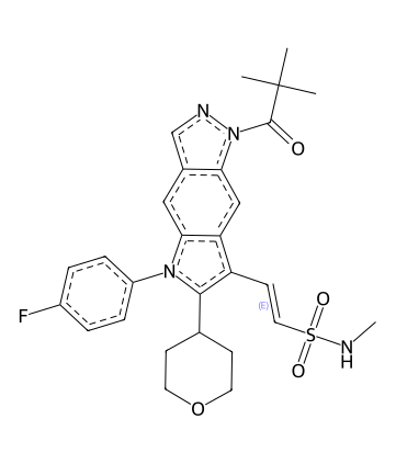 CNS(=O)(=O)/C=C/c1c(C2CCOCC2)n(-c2ccc(F)cc2)c2cc3cnn(C(=O)C(C)(C)C)c3cc12